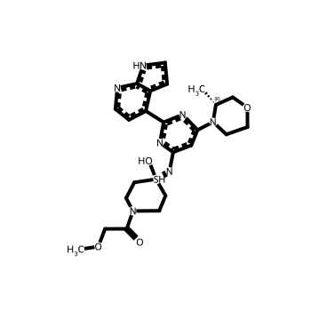 COCC(=O)N1CC[SH](O)(=Nc2cc(N3CCOC[C@H]3C)nc(-c3ccnc4[nH]ccc34)n2)CC1